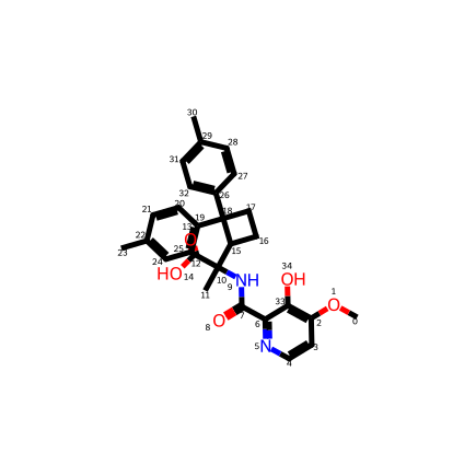 COc1ccnc(C(=O)NC(C)(C(=O)O)C2CCC2(c2ccc(C)cc2)c2ccc(C)cc2)c1O